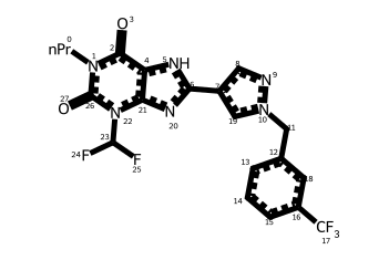 CCCn1c(=O)c2[nH]c(-c3cnn(Cc4cccc(C(F)(F)F)c4)c3)nc2n(C(F)F)c1=O